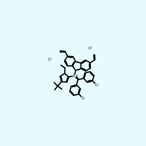 C=Cc1ccc2c(c1)-c1cc(C=C)ccc1[CH]2[Zr+2]([C]1=CC(C(C)(C)C)=CC1CC)=[C](c1cccc(Cl)c1)c1cccc(Cl)c1.[Cl-].[Cl-]